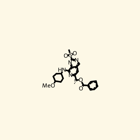 COC1CCC(Nc2nc([C@@H](C)OC(=O)c3ccccc3)cc3cnc(S(C)(=O)=O)nc23)CC1